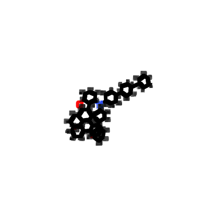 c1ccc(-c2ccc(-c3ccc(N(c4ccc(-c5ccccc5)cc4)c4cccc5oc6c7ccccc7c(-c7ccccc7-c7ccccc7)cc6c45)cc3)cc2)cc1